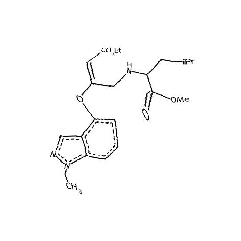 CCOC(=O)C=C(CNC(CC(C)C)C(=O)OC)Oc1cccc2c1cnn2C